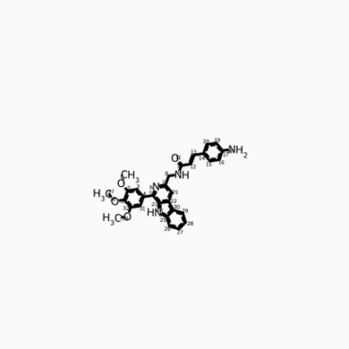 COc1cc(-c2nc(CNC(=O)/C=C/c3ccc(N)cc3)cc3c2[nH]c2ccccc23)cc(OC)c1OC